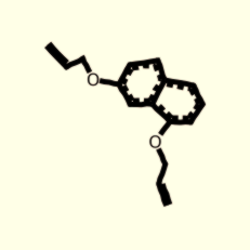 C=CCOc1ccc2cccc(OCC=C)c2c1